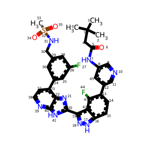 CC(C)(C)CC(=O)Nc1cncc(-c2ccc3[nH]nc(-c4nc5c(-c6cc(F)cc(CNS(C)(=O)=O)c6)ccnc5[nH]4)c3c2F)c1